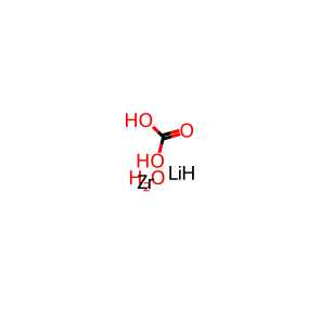 O.O=C(O)O.[LiH].[Zr]